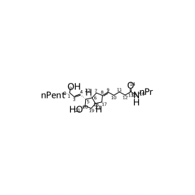 CCCCC[C@H](O)/C=C/[C@@H]1[C@H]2C/C(=C/CCCC(=O)NCCC)C[C@H]2C[C@H]1O